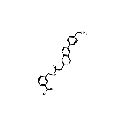 NCc1ccc(-c2ccc3c(c2)CSC(CC(=O)NCc2cccc(C(=O)O)c2)=N3)cc1